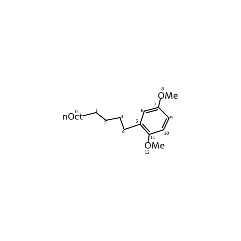 CCCCCCCCCCCCc1cc(OC)ccc1OC